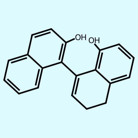 Oc1cccc2c1C(c1c(O)ccc3ccccc13)=CCC2